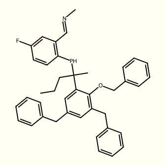 CCCC(C)(Pc1ccc(F)cc1/C=N/C)c1cc(Cc2ccccc2)cc(Cc2ccccc2)c1OCc1ccccc1